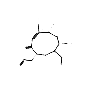 C=CC[C@@H]1CC(CC)[C@H](O)C[C@@H](C)/C(I)=C\C1=O